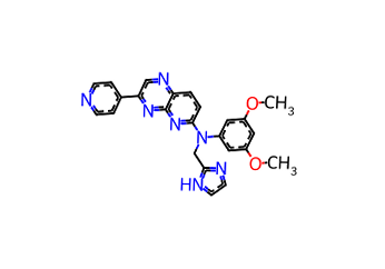 COc1cc(OC)cc(N(Cc2ncc[nH]2)c2ccc3ncc(-c4ccncc4)nc3n2)c1